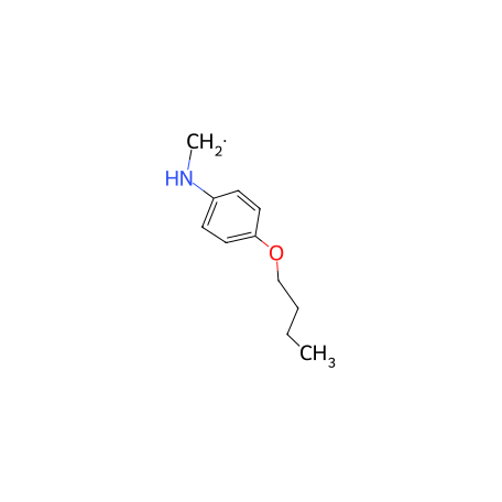 [CH2]Nc1ccc(OCCCC)cc1